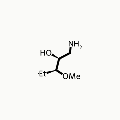 C[CH][C@H](OC)[C@@H](O)CN